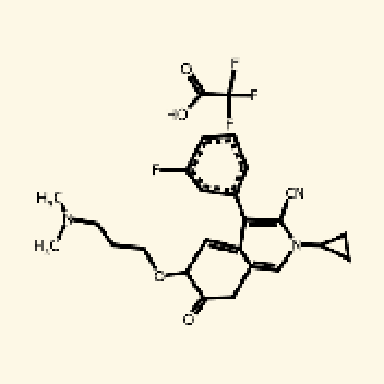 CN(C)CCCOC1C=C2C(=CN(C3CC3)C(C#N)=C2c2cccc(F)c2)CC1=O.O=C(O)C(F)(F)F